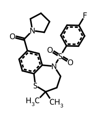 CC1(C)CCN(S(=O)(=O)c2ccc(F)cc2)c2cc(C(=O)N3CCCC3)ccc2S1